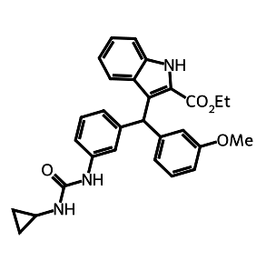 CCOC(=O)c1[nH]c2ccccc2c1C(c1cccc(NC(=O)NC2CC2)c1)c1cccc(OC)c1